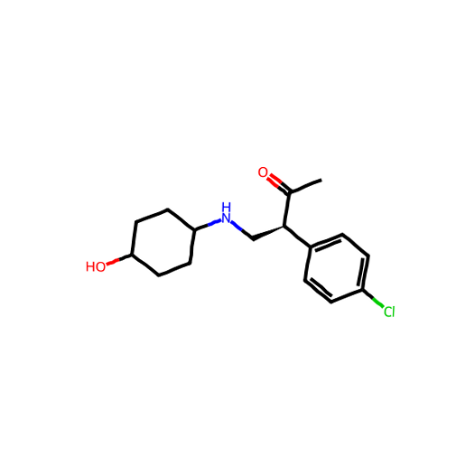 CC(=O)[C@H](CNC1CCC(O)CC1)c1ccc(Cl)cc1